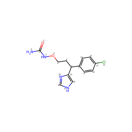 NC(=O)NOCCC(c1ccc(Cl)cc1)c1c[nH]cn1